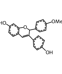 COc1ccc(C2Oc3cc(O)ccc3C=C2c2ccc(O)cc2)cc1